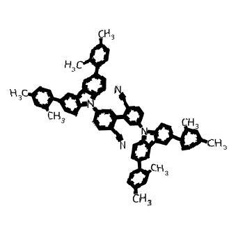 Cc1ccc(-c2ccc3c(c2)c2cc(-c4ccc(C)cc4C)ccc2n3-c2ccc(C#N)c(-c3cc(-n4c5ccc(-c6ccc(C)cc6C)cc5c5cc(-c6ccc(C)cc6C)ccc54)ccc3C#N)c2)c(C)c1